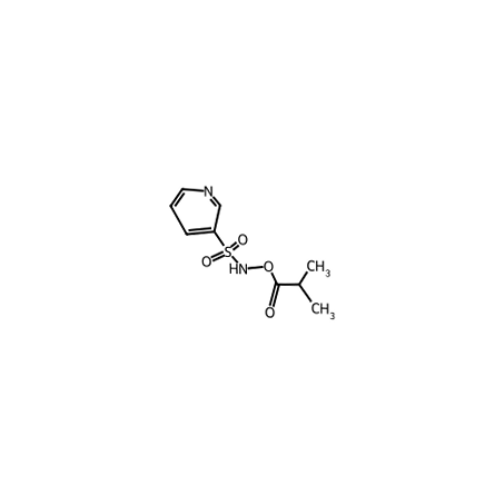 CC(C)C(=O)ONS(=O)(=O)c1cccnc1